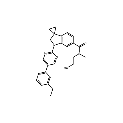 CCc1cccc(-c2cnc(N3CC4(CC4)c4ccc(C(=O)N(C)CCO)cc43)nc2)n1